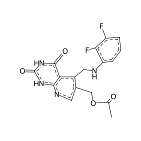 CC(=O)OCc1cnc2[nH]c(=O)[nH]c(=O)c2c1CNc1cccc(F)c1F